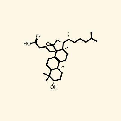 CC(C)CCC[C@@H](C)[C@H]1CC(=O)[C@@]2(CCCC(=O)O)C3=C(CC[C@]12C)[C@@]1(C)CC[C@H](O)C(C)(C)C1CC3